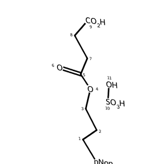 CCCCCCCCCCCCOC(=O)CCC(=O)O.O=S(=O)(O)O